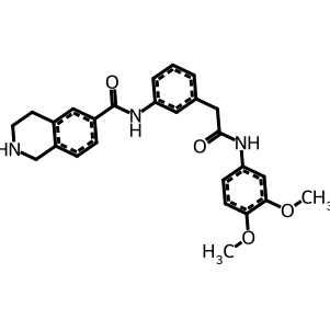 COc1ccc(NC(=O)Cc2cccc(NC(=O)c3ccc4c(c3)CCNC4)c2)cc1OC